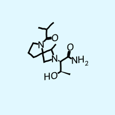 CC(C)C(=O)N1CCCC12CN([C@H](C(N)=O)[C@@H](C)O)C2C